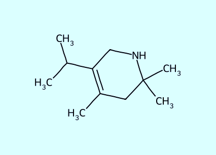 CC1=C(C(C)C)CNC(C)(C)C1